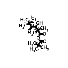 CC(C)(C)C(=O)OC(=O)C(C)(C)C(O)C(=O)C(C)(C)C